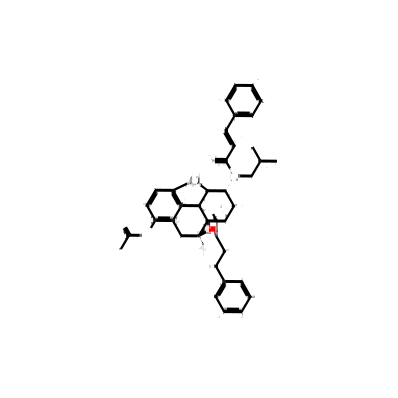 CC(=O)Oc1ccc2c3c1C[C@@H]1[C@@H]4CC[C@@H](N(CC(C)C)C(=O)C=Cc5ccccc5)[C@H](O2)[C@]34CCN1CCc1ccccc1